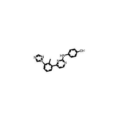 Cc1c(-c2ccnc(Nc3ccc(O)cc3)n2)cccc1-n1cncn1